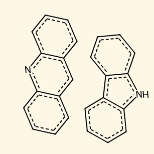 c1ccc2c(c1)[nH]c1ccccc12.c1ccc2nc3ccccc3cc2c1